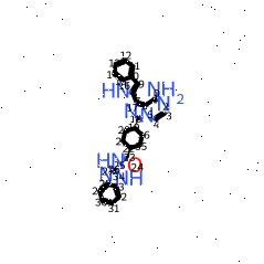 Nc1nccn2c1c(-c1cc3ccccc3[nH]1)nc2[C@H]1CC[C@H](C(=O)Nc2nc3ccccc3[nH]2)CC1